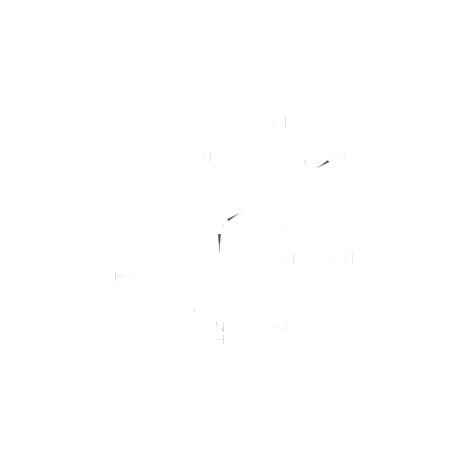 OCC1O[C@@H](O[C@@H]2C(CO)ONC(O)C2O)C(O)C(O)[C@H]1O